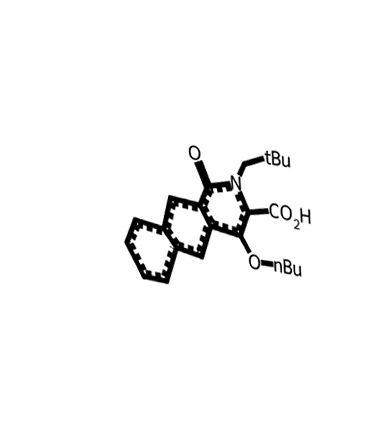 CCCCOc1c(C(=O)O)n(CC(C)(C)C)c(=O)c2cc3ccccc3cc12